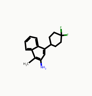 Cc1c(N)cc(C2CCC(F)(F)CC2)c2ccccc12